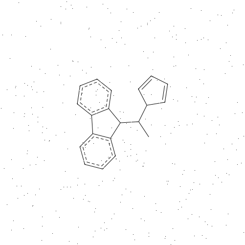 CC(C1C=CC=C1)C1c2ccccc2-c2ccccc21